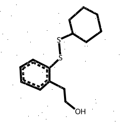 OCCc1ccccc1SSC1CCCCC1